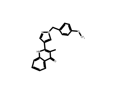 Cc1c(-c2cnn(Cc3ccc(OC(F)(F)F)cc3)c2)[nH]c2ccccc2c1=O